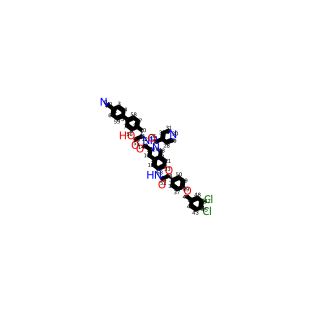 N#Cc1ccc(-c2ccc(C[C@H](NC(=O)C3Cc4cc5c(cc4CN3C(=O)c3ccncc3)O[C@@H](c3ccc(OCc4ccc(Cl)c(Cl)c4)cc3)C(=O)N5)C(=O)O)cc2)cc1